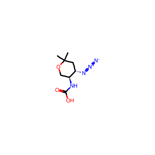 CC1(C)C[C@H](N=[N+]=[N-])[C@@H](NC(=O)O)CO1